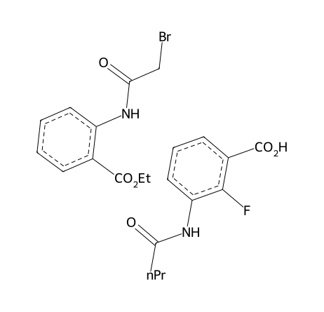 CCCC(=O)Nc1cccc(C(=O)O)c1F.CCOC(=O)c1ccccc1NC(=O)CBr